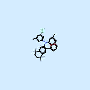 Cc1cccc(N(c2cc(C)cc(Cl)c2)c2cc3c(cc2-c2ccccc2)C(C)(C)CCC3(C)C)c1